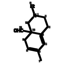 CCN1CCC2=CC(C)=CCC2(C=O)C1